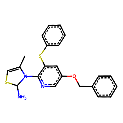 CC1=CSC(N)N1c1ncc(OCc2ccccc2)cc1Sc1ccccc1